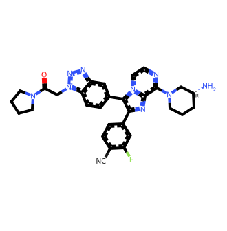 N#Cc1ccc(-c2nc3c(N4CCC[C@@H](N)C4)nccn3c2-c2ccc3c(c2)nnn3CC(=O)N2CCCC2)cc1F